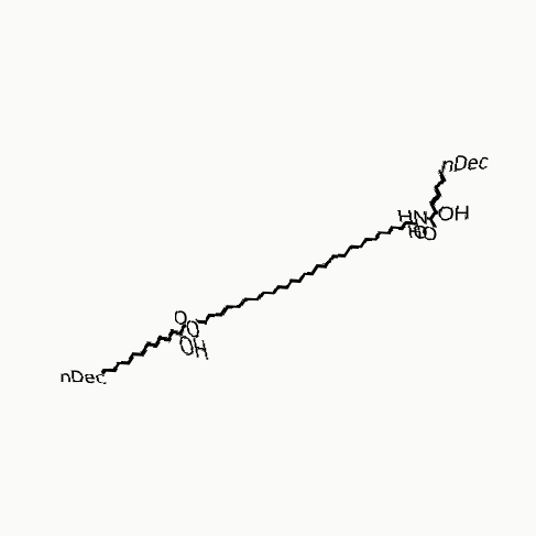 CCCCCCCCCCCCC/C=C/C(O)C(CO)NC(=O)CCCCCCCCCCCCCCCCCCCCCCCCCCCCCOC(=O)C(O)CCCCCCCCCCCCCCCCCCCCC